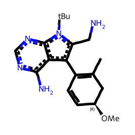 CO[C@H]1C=CC(c2c(CN)n(C(C)(C)C)c3ncnc(N)c23)=C(C)C1